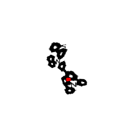 c1ccc(-n2c3ccccc3c3ccccc32)c(-c2ccc(-c3ccc(N(c4ccc5sc6ccccc6c5c4)c4cccc5ccccc45)cc3)cc2)c1